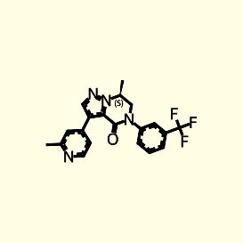 Cc1cc(-c2cnn3c2C(=O)N(c2cccc(C(F)(F)F)c2)C[C@@H]3C)ccn1